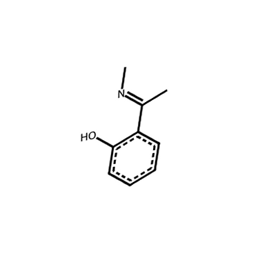 CN=C(C)c1ccccc1O